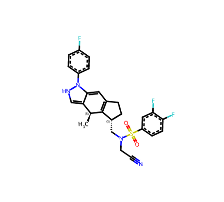 C[C@H]1C2=CNN(c3ccc(F)cc3)C2=CC2=C1[C@@H](CN(CC#N)S(=O)(=O)c1ccc(F)c(F)c1)CC2